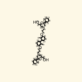 Cc1c(OCCCN(CCc2ccccn2)CC(O)CO)cccc1-c1cccc(OCCCN(CCc2ccccn2)CC(O)CO)c1C